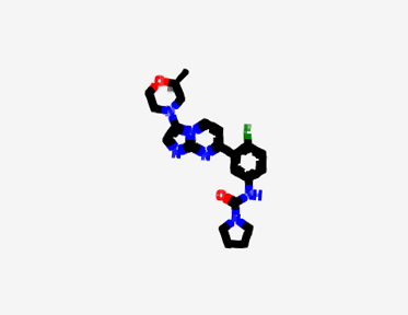 C[C@H]1CN(c2cnc3nc(-c4cc(NC(=O)N5CCCC5)ccc4F)ccn23)CCO1